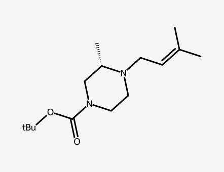 CC(C)=CCN1CCN(C(=O)OC(C)(C)C)C[C@@H]1C